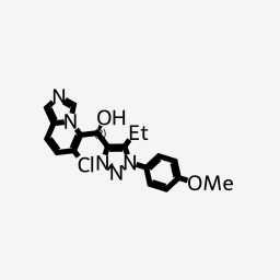 CCc1c([C@H](O)c2c(Cl)ccc3cncn23)nnn1-c1ccc(OC)cc1